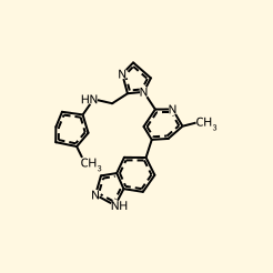 Cc1cccc(NCc2nccn2-c2cc(-c3ccc4[nH]ncc4c3)cc(C)n2)c1